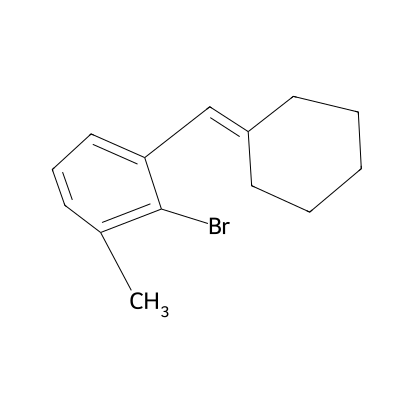 Cc1cccc(C=C2CCCCC2)c1Br